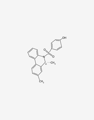 Cc1ccc2c(c1)[C@@H](C)N(S(=O)(=O)c1ccc(O)cc1)c1ccccc1-2